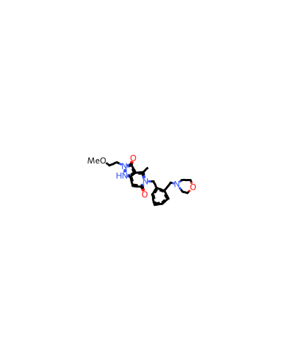 COCCn1[nH]c2cc(=O)n(Cc3ccccc3CN3CCOCC3)c(C)c2c1=O